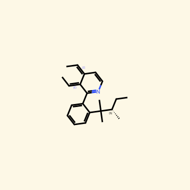 C/C=c1/ccnc(-c2ccccc2C(C)(C)[C@@H](C)CC)/c1=C/C